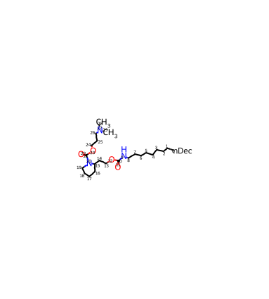 CCCCCCCCCCCCCCCCCCNC(=O)OCCC1CCCCN1C(=O)OCCCN(C)C